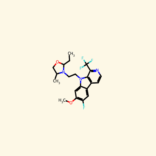 CCC1OCC(C)N1CCn1c2cc(OC)c(F)cc2c2ccnc(C(F)(F)F)c21